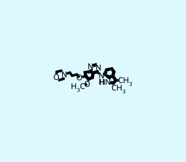 COc1cc2c(Nc3cccc4c(C)c(C)[nH]c34)ncnc2cc1OCCCN1CCOCC1